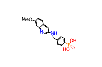 COc1ccc2cc(NCc3ccc(P(=O)(O)O)cc3)cnc2c1